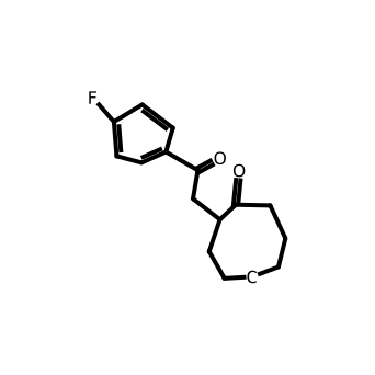 O=C(CC1CCCCCCC1=O)c1ccc(F)cc1